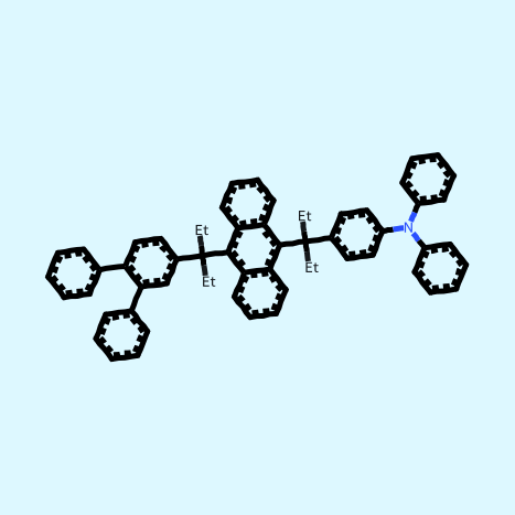 CCC(CC)(c1ccc(N(c2ccccc2)c2ccccc2)cc1)c1c2ccccc2c(C(CC)(CC)c2ccc(-c3ccccc3)c(-c3ccccc3)c2)c2ccccc12